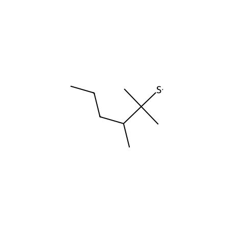 CCCC(C)C(C)(C)[S]